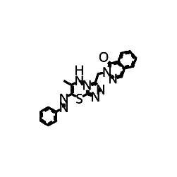 CC1=C(N=Nc2ccccc2)Sc2nnc(Cn3ncc4ccccc4c3=O)n2N1